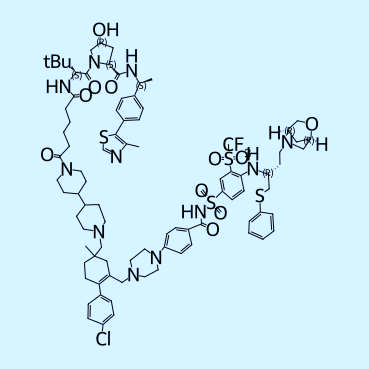 Cc1ncsc1-c1ccc([C@H](C)NC(=O)[C@@H]2C[C@@H](O)CN2C(=O)[C@@H](NC(=O)CCCCC(=O)N2CCC(C3CCN(CC4(C)CCC(c5ccc(Cl)cc5)=C(CN5CCN(c6ccc(C(=O)NS(=O)(=O)c7ccc(N[C@H](CCN8C[C@H]9C[C@@H]8CO9)CSc8ccccc8)c(S(=O)(=O)C(F)(F)F)c7)cc6)CC5)C4)CC3)CC2)C(C)(C)C)cc1